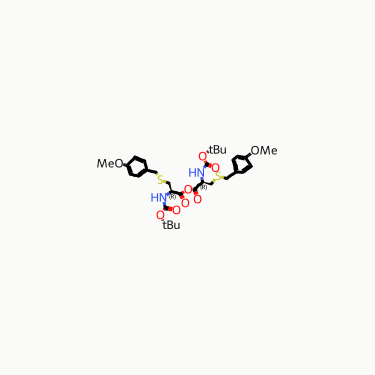 COc1ccc(CSC[C@H](NC(=O)OC(C)(C)C)C(=O)OC(=O)[C@H](CSCc2ccc(OC)cc2)NC(=O)OC(C)(C)C)cc1